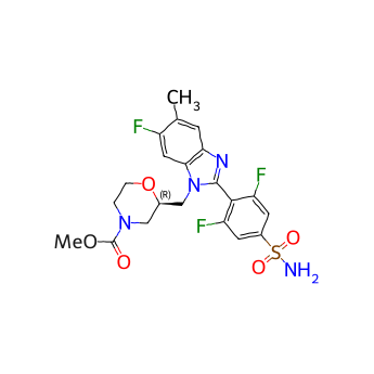 COC(=O)N1CCO[C@@H](Cn2c(-c3c(F)cc(S(N)(=O)=O)cc3F)nc3cc(C)c(F)cc32)C1